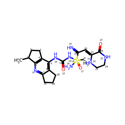 CC1CCc2c1nc1c(c2NC(=O)NS(C)(N)(=O)C(=N)/C=C2\NCCNC2=O)CCC1